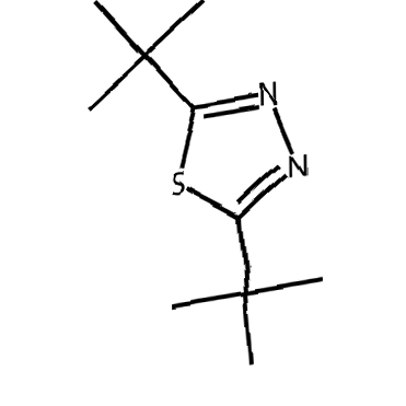 CC(C)(C)c1nnc(C(C)(C)C)s1